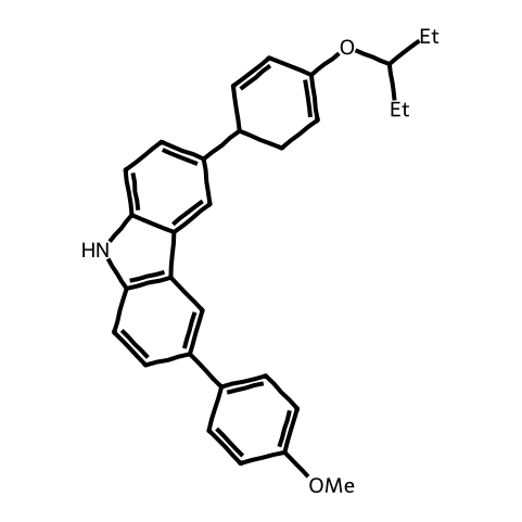 CCC(CC)OC1=CCC(c2ccc3[nH]c4ccc(-c5ccc(OC)cc5)cc4c3c2)C=C1